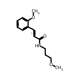 COCCCNC(=O)/C=C/c1ccccc1OC